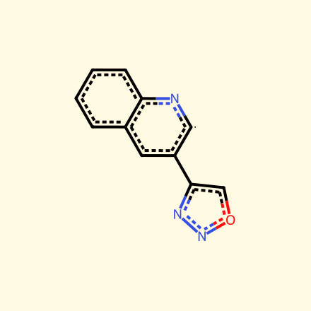 [c]1nc2ccccc2cc1-c1conn1